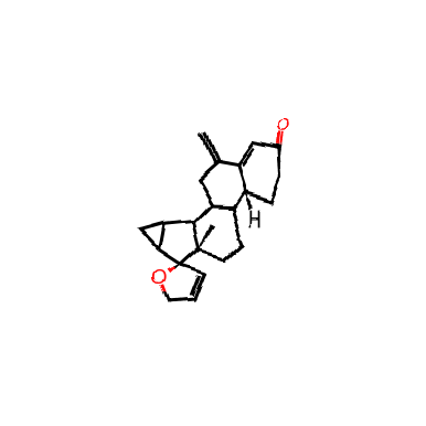 C=C1CC2C(CC[C@@]3(C)C2C2CC2[C@@]32C=CCO2)[C@H]2CCC(=O)C=C12